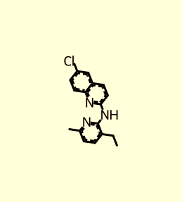 CCc1ccc(C)nc1Nc1ccc2cc(Cl)ccc2n1